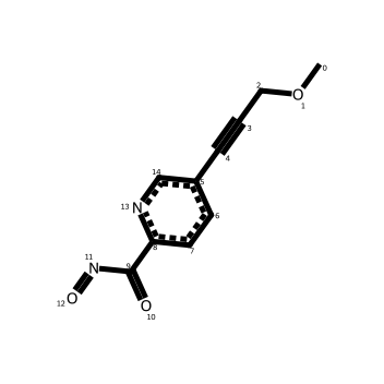 COCC#Cc1ccc(C(=O)N=O)nc1